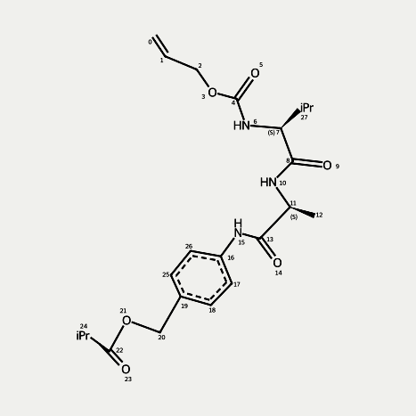 C=CCOC(=O)N[C@H](C(=O)N[C@@H](C)C(=O)Nc1ccc(COC(=O)C(C)C)cc1)C(C)C